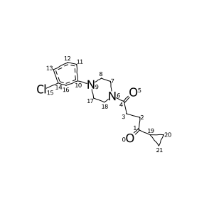 O=C(CCC(=O)N1CCN(c2cccc(Cl)c2)CC1)C1CC1